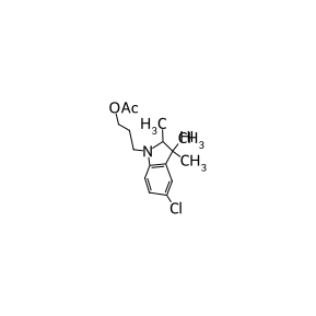 CC(=O)OCCCN1c2ccc(Cl)cc2C(C)(C)C1C.I